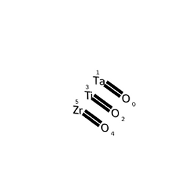 [O]=[Ta].[O]=[Ti].[O]=[Zr]